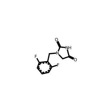 O=C1CN(Cc2c(F)cccc2F)C(=O)N1